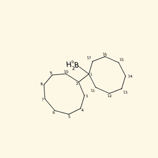 BC1(C2CCCCCCCC2)CCCCCCC1